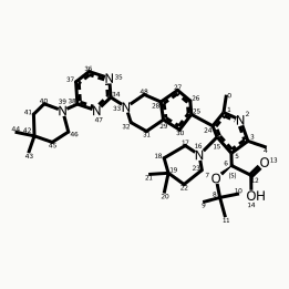 Cc1nc(C)c([C@H](OC(C)(C)C)C(=O)O)c(N2CCC(C)(C)CC2)c1-c1ccc2c(c1)CCN(c1nccc(N3CCC(C)(C)CC3)n1)C2